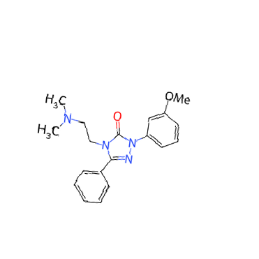 COc1cccc(-n2nc(-c3ccccc3)n(CCN(C)C)c2=O)c1